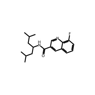 CC(C)CC(CC(C)C)NC(=O)c1cnc2c(F)cccc2c1